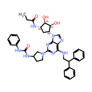 CCC(=O)N[C@H]1C[C@@H](n2cnc3c(NCC(c4ccccc4)c4ccccc4)nc(N4CCC(NC(=O)Nc5ccccc5)C4)nc32)[C@H](O)[C@@H]1O